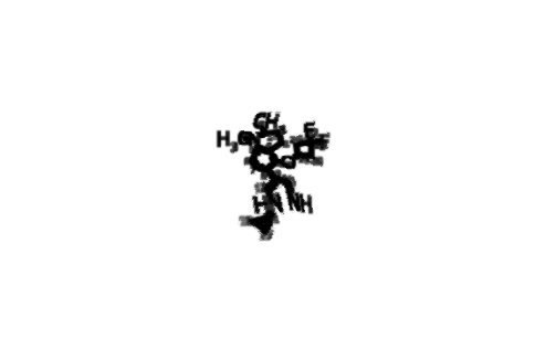 CC1CCc2c(ccc(/C(C=N)=C/NC3CC3)c2OC2CC(F)(F)C2)N1C